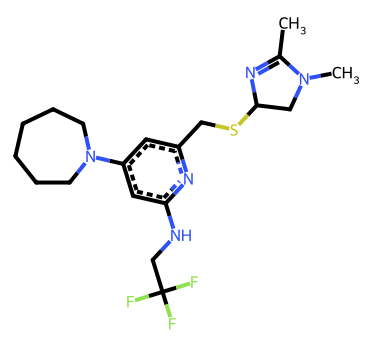 CC1=NC(SCc2cc(N3CCCCCC3)cc(NCC(F)(F)F)n2)CN1C